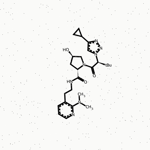 CN(C)c1ncccc1CCNC(=O)[C@@H]1C[C@@H](O)CN1C(=O)[C@@H](n1cc(C2CC2)nn1)C(C)(C)C